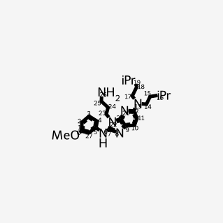 COc1cccc(Nc2nc3ccc(N(CCC(C)C)CCC(C)C)nc3n2CCCN)c1